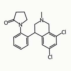 CN1Cc2c(Cl)cc(Cl)cc2C(c2ccccc2N2CCCC2=O)C1